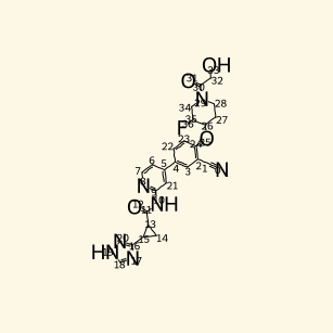 N#Cc1cc(-c2ccnc(NC(=O)C3CC3c3nc[nH]n3)c2)ccc1OC1CCN(C(=O)CO)CC1F